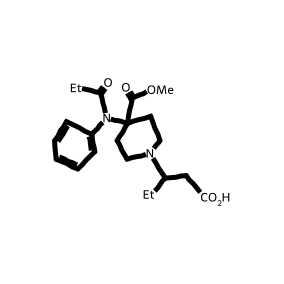 CCC(=O)N(c1ccccc1)C1(C(=O)OC)CCN(C(CC)CC(=O)O)CC1